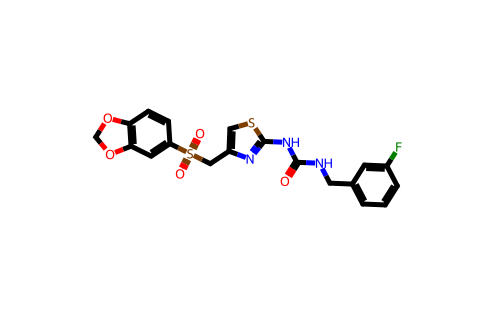 O=C(NCc1cccc(F)c1)Nc1nc(CS(=O)(=O)c2ccc3c(c2)OCO3)cs1